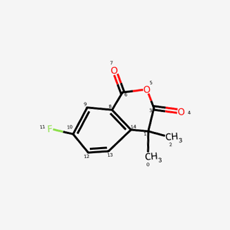 CC1(C)C(=O)OC(=O)c2cc(F)ccc21